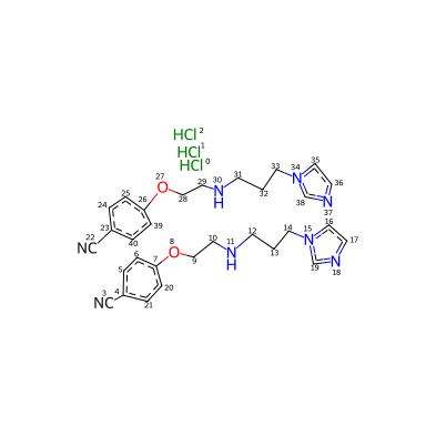 Cl.Cl.Cl.N#Cc1ccc(OCCNCCCn2ccnc2)cc1.N#Cc1ccc(OCCNCCCn2ccnc2)cc1